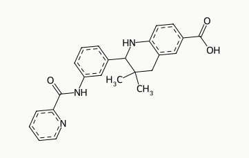 CC1(C)Cc2cc(C(=O)O)ccc2NC1c1cccc(NC(=O)c2ccccn2)c1